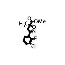 COC(=O)C1(C)CC(c2cccc(Cl)c2F)=NO1